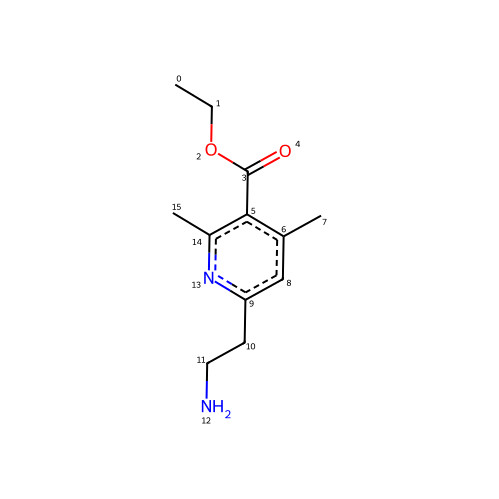 CCOC(=O)c1c(C)cc(CCN)nc1C